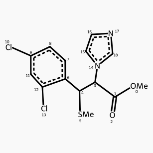 COC(=O)C(C(SC)c1ccc(Cl)cc1Cl)n1ccnc1